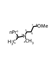 CCCC(C)N(C)CCCOC